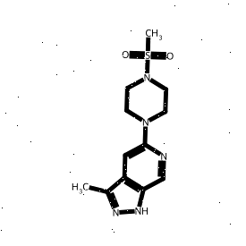 Cc1n[nH]c2cnc(N3CCN(S(C)(=O)=O)CC3)cc12